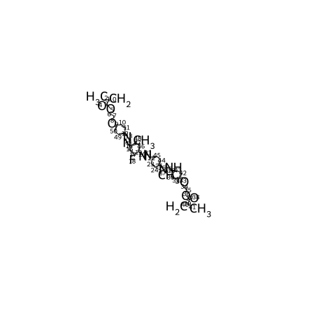 C=C(C)C(=O)OCCOc1ccc(/N=N/c2cc(F)c(/N=N/c3ccc(N(C)Nc4ccc(OCCOC(=O)C(=C)C)cc4)cc3)cc2C)cc1